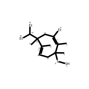 CC/C1=C(\C)C(C)(SS)C/C=C(\C)C(C)(C(CC)CC)C1